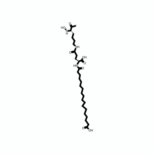 O=C(O)CCCCCCCCCCCCCCCCC(=O)N[C@@H](CCC(=O)NCCCC[C@H](NO)C(=O)I)C(=O)O